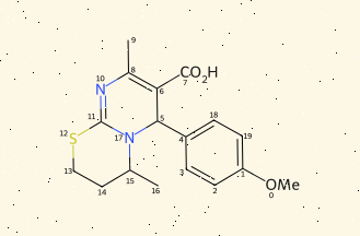 COc1ccc(C2C(C(=O)O)=C(C)N=C3SCCC(C)N32)cc1